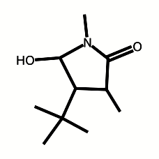 CC1C(=O)N(C)C(O)C1C(C)(C)C